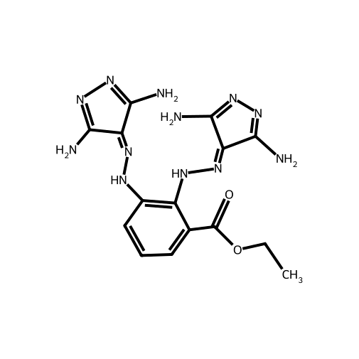 CCOC(=O)c1cccc(NN=C2C(N)=NN=C2N)c1NN=C1C(N)=NN=C1N